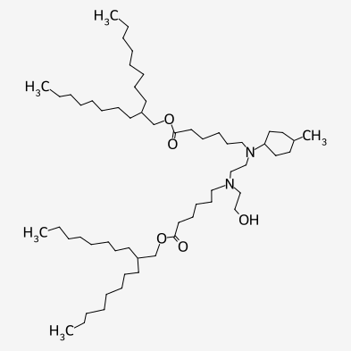 CCCCCCCCC(CCCCCCCC)COC(=O)CCCCCN(CCO)CCN(CCCCCC(=O)OCC(CCCCCCCC)CCCCCCCC)C1CCC(C)CC1